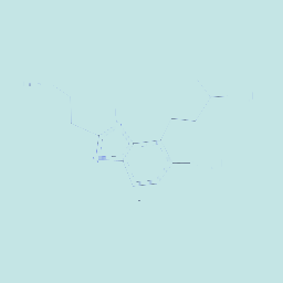 CCCCCCCCCCCCc1nc2ccc(S(=O)(=O)O)c(CCC(C)S(=O)(=O)O)c2[nH]1.[K]